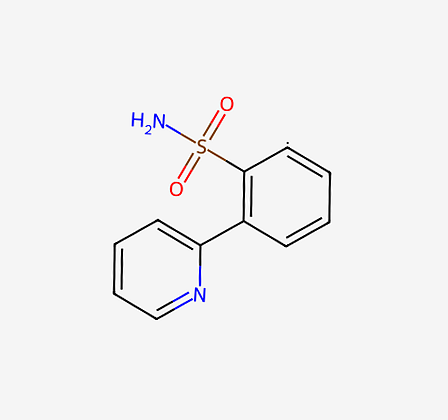 NS(=O)(=O)c1[c]cccc1-c1ccccn1